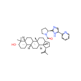 C=C(C)[C@@H]1CC[C@]2(C(=O)N3CCC[C@H]3c3ncc(-c4ccccn4)[nH]3)CC[C@]3(C)[C@H](CC[C@@H]4[C@@]5(C)CC[C@H](O)C(C)(C)[C@@H]5CC[C@]43C)[C@@H]12